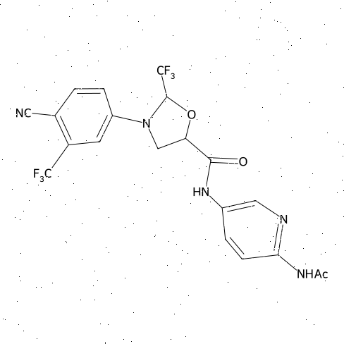 CC(=O)Nc1ccc(NC(=O)C2CN(c3ccc(C#N)c(C(F)(F)F)c3)C(C(F)(F)F)O2)cn1